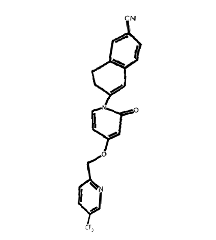 N#Cc1ccc2c(c1)CCC(n1ccc(OCc3ccc(C(F)(F)F)cn3)cc1=O)=C2